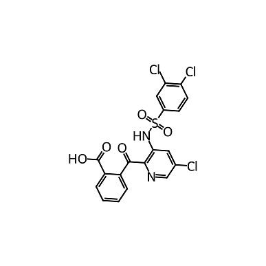 O=C(O)c1ccccc1C(=O)c1ncc(Cl)cc1NS(=O)(=O)c1ccc(Cl)c(Cl)c1